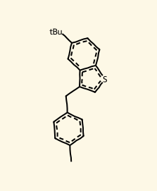 Cc1ccc(Cc2csc3ccc(C(C)(C)C)cc23)cc1